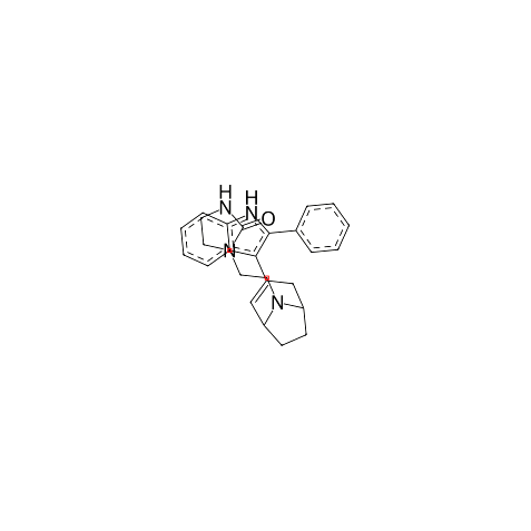 O=C1NCCN1CCN1C2C=C(c3c(-c4ccccc4)[nH]c4ccccc34)CC1CC2